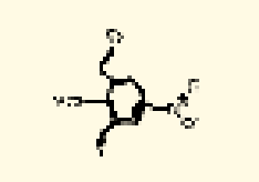 O=Cc1cc([N+](=O)[O-])cc(I)c1O